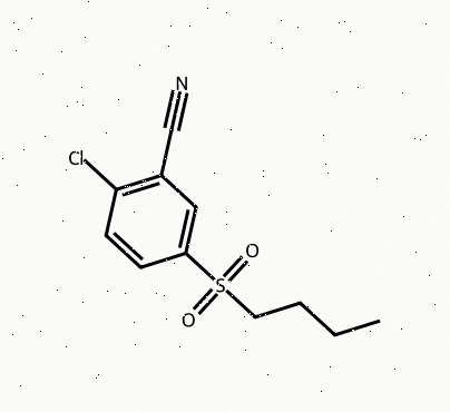 CCCCS(=O)(=O)c1ccc(Cl)c(C#N)c1